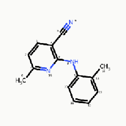 Cc1ccc(C#N)c(Nc2ccccc2C)n1